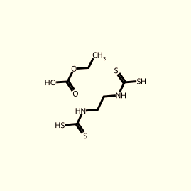 CCOC(=O)O.S=C(S)NCCNC(=S)S